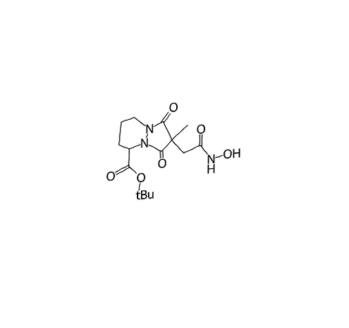 CC(C)(C)OC(=O)C1CCCN2C(=O)C(C)(CC(=O)NO)C(=O)N12